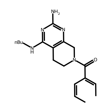 C/C=C\C(=C/C)C(=O)N1CCc2c(nc(N)nc2NCCCC)C1